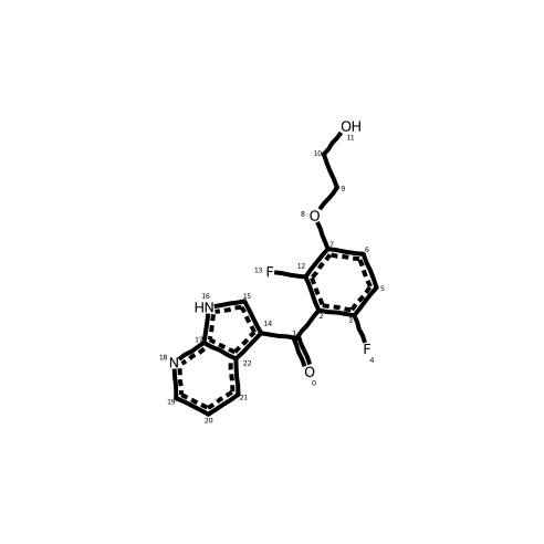 O=C(c1c(F)ccc(OCCO)c1F)c1c[nH]c2ncccc12